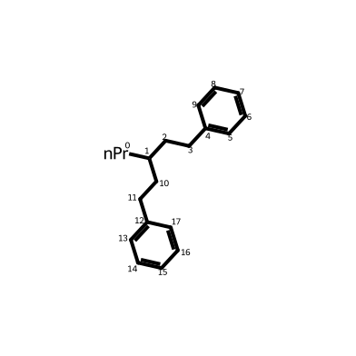 C[CH]CC(CCc1ccccc1)CCc1ccccc1